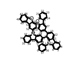 c1ccc(-n2c3ccccc3c3ccc(-c4ccc5oc6ccccc6c5c4)c(-c4ccc5c6ccccc6n(-c6ccc7oc8ccccc8c7c6)c5c4)c32)cc1